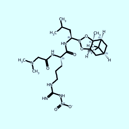 CC(C)C[C@H](NC(=O)[C@H](CCCNC(=N)N[N+](=O)[O-])NC(=O)CN(C)C)B1O[C@@H]2C[C@@H]3C[C@@H](C3(C)C)[C@]2(C)O1